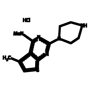 CNc1nc(N2CCNCC2)nc2scc(C)c12.Cl